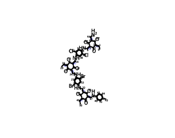 C/C=C1\C(=O)/C(=C/Nc2cc(Cl)c(N/C=C3\C(=O)/C(=C/C)C(=O)/C(=C/Nc4cc(Br)c(N/C=C5/C(=O)/C(=C\Nc6ccc(C)cc6)C(=O)/C(=C\C)C5=O)cc4Br)C3=O)cc2Cl)C(=O)/C(=C/N)C1=O